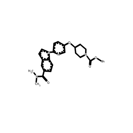 CC(C)OC(=O)N1CCC(Oc2ccc(-n3ccc4cc(C(=O)N(C)C)ccc43)nc2)CC1